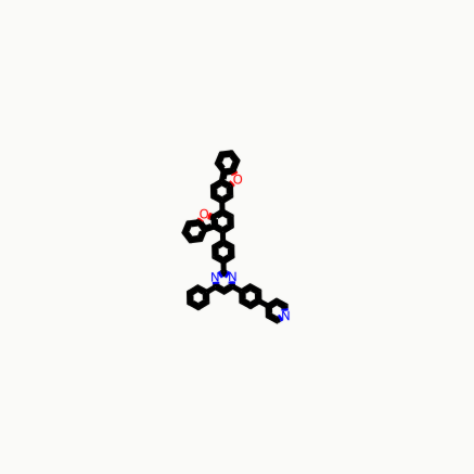 c1ccc(-c2cc(-c3ccc(-c4ccncc4)cc3)nc(-c3ccc(-c4ccc(-c5ccc6c(c5)oc5ccccc56)c5oc6ccccc6c45)cc3)n2)cc1